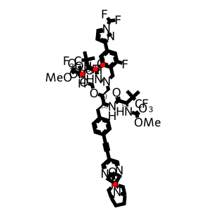 COC(=O)N[C@H](C(=O)N[C@@H](Cc1ccc(C#Cc2cnc(N3CC4CCC(C3)N4C3COC3)nc2)cc1)[C@H](CN(Cc1c(F)cc(-c2ccn(C(F)F)n2)cc1F)NC(=O)[C@@H](NC(=O)OC)C(C)(C)C(F)(F)F)OCOP(=O)(O)O)C(C)(C)C(F)(F)F